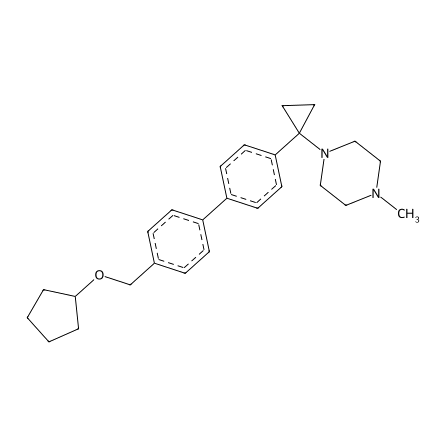 CN1CCN(C2(c3ccc(-c4ccc(COC5CCCC5)cc4)cc3)CC2)CC1